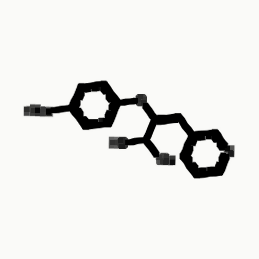 CCCCCCc1ccc(OC(=Cc2cccnc2)C(O)C(C)(C)C)cc1